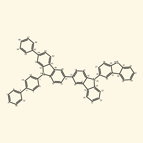 c1ccc(-c2ccc(-n3c4ccc(-c5ccc6c(c5)c5ccccc5n6-c5ccc6sc7ccccc7c6c5)cc4c4ccc(-c5ccccc5)cc43)cc2)cc1